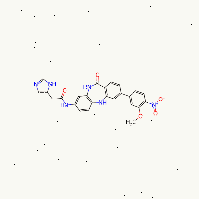 COc1cc(-c2ccc3c(c2)Nc2ccc(NC(=O)Cc4cnc[nH]4)cc2NC3=O)ccc1[N+](=O)[O-]